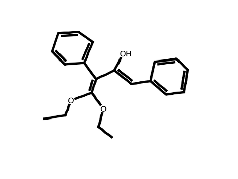 CCOC(OCC)=C(C(O)=Cc1ccccc1)c1ccccc1